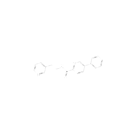 O=C(NCCc1cccnc1)c1ccc(-c2ccccc2)cn1